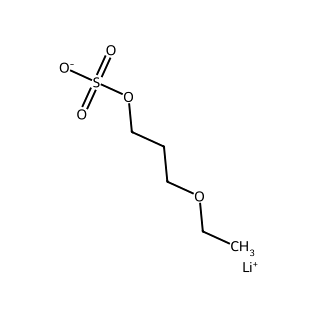 CCOCCCOS(=O)(=O)[O-].[Li+]